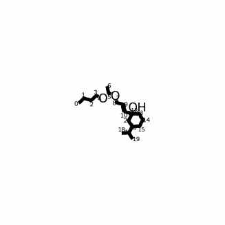 CCCCOC(C)OCC=CC1(O)CCCC(C(C)C)C1